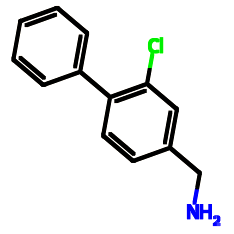 NCc1ccc(-c2ccccc2)c(Cl)c1